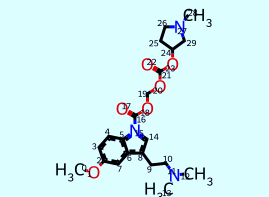 COc1ccc2c(c1)c(CCN(C)C)cn2C(=O)OCOC(=O)OC1CCN(C)C1